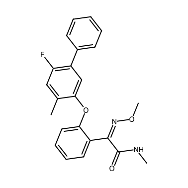 CNC(=O)C(=NOC)c1ccccc1Oc1cc(-c2ccccc2)c(F)cc1C